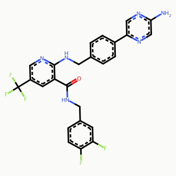 Nc1cnc(-c2ccc(CNc3ncc(C(F)(F)F)cc3C(=O)NCc3ccc(F)c(F)c3)cc2)cn1